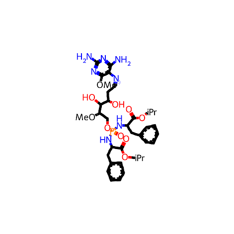 COc1nc(N)nc(N)c1/N=C\CC(O)C(O)C(COP(=O)(NC(Cc1ccccc1)C(=O)OC(C)C)NC(Cc1ccccc1)C(=O)OC(C)C)OC